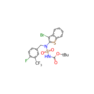 CC(C)(C)OC(=O)NS(=O)(=O)N(Cc1ccc(F)c(C(F)(F)F)c1)c1sc2ccccc2c1Br